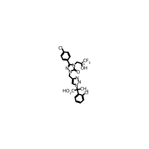 CC(C(=O)O)(c1ccccc1Cl)n1cc(Cn2nc(-c3ccc(Cl)cc3)n(C[C@H](O)C(F)(F)F)c2=O)nn1